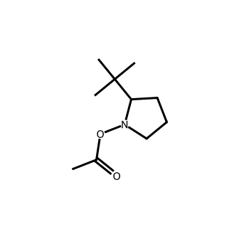 CC(=O)ON1CCCC1C(C)(C)C